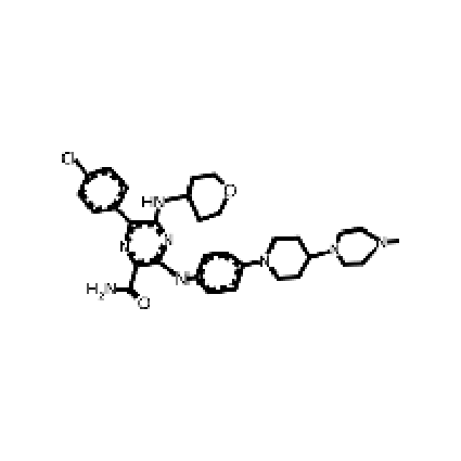 CN1CCN(C2CCN(c3ccc(Nc4nc(NC5CCOCC5)c(-c5ccc(Cl)cc5)nc4C(N)=O)cc3)CC2)CC1